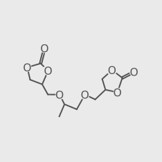 CC(COCC1COC(=O)O1)OCC1COC(=O)O1